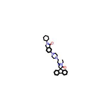 CCNC(=O)C1(CCCCN2CCN(c3ccc4c(c3)C(=O)N(C3CCCCC3)C4)CC2)c2ccccc2-c2ccccc21